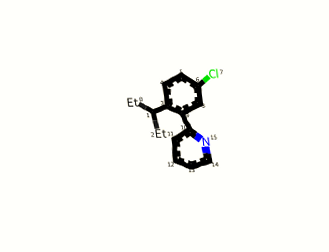 CCC(CC)c1ccc(Cl)cc1-c1ccccn1